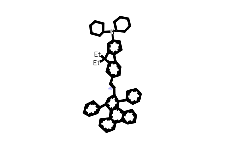 CCC1(CC)c2cc(/C=C/c3cc(-c4ccccc4)c4c5ccccc5c5ccccc5c4c3-c3ccccc3)ccc2-c2ccc(N(C3CCCCC3)C3CCCCC3)cc21